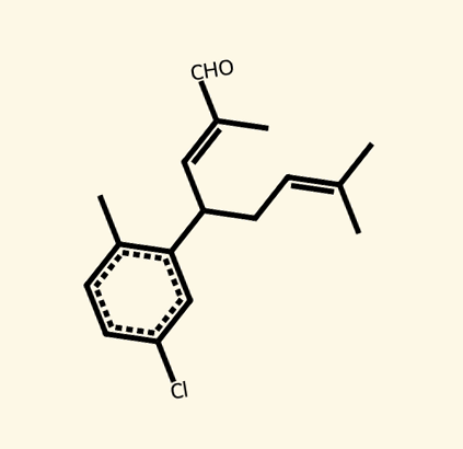 CC(C)=CCC(/C=C(\C)C=O)c1cc(Cl)ccc1C